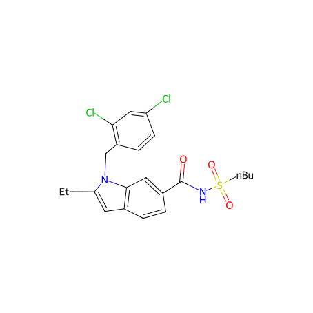 CCCCS(=O)(=O)NC(=O)c1ccc2cc(CC)n(Cc3ccc(Cl)cc3Cl)c2c1